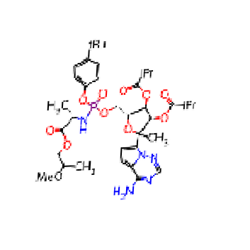 COC(C)COC(=O)[C@H](C)NP(=O)(OC[C@H]1O[C@@](C)(c2ccc3c(N)ncnn23)[C@H](OC(=O)C(C)C)[C@@H]1OC(=O)C(C)C)Oc1ccc(C(C)(C)C)cc1